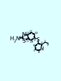 CCc1ncccc1Sc1ccc2nc(N)sc2c1